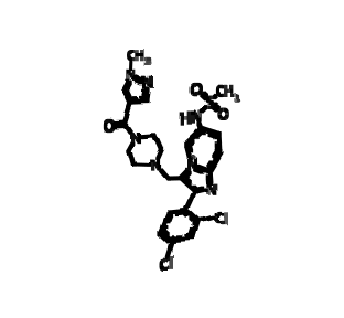 Cn1cc(C(=O)N2CCN(Cc3c(-c4ccc(Cl)cc4Cl)nc4ccc(NS(C)(=O)=O)cn34)CC2)cn1